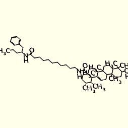 CCCC(Cc1ccccc1)NC(=O)CCCCCCCCCCNC(=O)[C@]12CC[C@@H](C)[C@H](C)C1C1=CCC3[C@@]4(C)CC[C@H](O)C(C)(C)C4CC[C@@]3(C)[C@]1(C)CC2